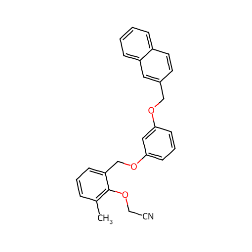 Cc1cccc(COc2cccc(OCc3ccc4ccccc4c3)c2)c1OCC#N